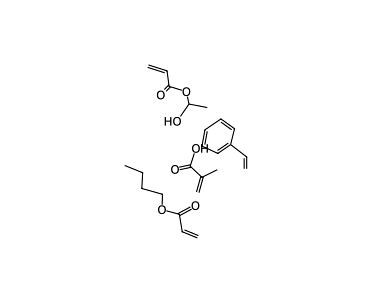 C=C(C)C(=O)O.C=CC(=O)OC(C)O.C=CC(=O)OCCCC.C=Cc1ccccc1